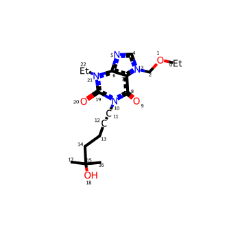 CCOCn1cnc2c1c(=O)n(CCCCC(C)(C)O)c(=O)n2CC